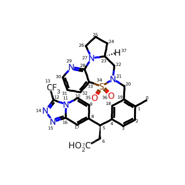 Cc1ccc([C@@H](CC(=O)O)c2ccn3c(C(F)(F)F)nnc3c2)cc1CN1C[C@@H]2CCCN2c2ncccc2S1(=O)=O